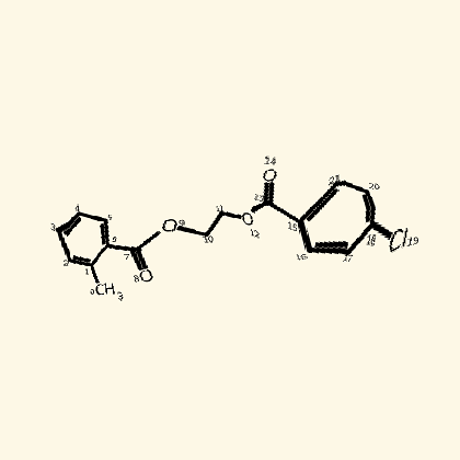 Cc1ccccc1C(=O)OCCOC(=O)c1ccc(Cl)cc1